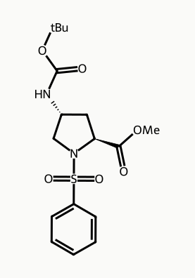 COC(=O)[C@@H]1C[C@@H](NC(=O)OC(C)(C)C)CN1S(=O)(=O)c1ccccc1